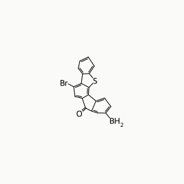 Bc1ccc2c(c1)C(=O)c1cc(Br)c3c(sc4ccccc43)c1-2